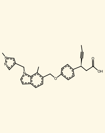 CC#C[C@@H](CC(=O)O)c1ccc(OCc2ccc3ccn(Cc4cnn(C)c4)c3c2C)cc1